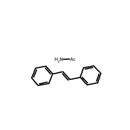 C(=Cc1ccccc1)c1ccccc1.CC(N)=O